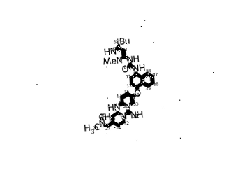 CN/C(=C\C(=N)C(C)(C)C)NC(=O)NC1CCC(Oc2ccc(=N)n(C(=N)N3CCC(CN(C)C)CC3)c2)c2ccccc21